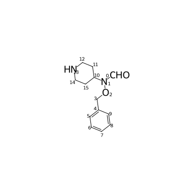 O=CN(OCc1ccccc1)C1CCNCC1